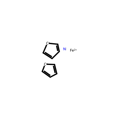 [Fe+2].[N].c1cc[cH-]c1.c1cc[cH-]c1